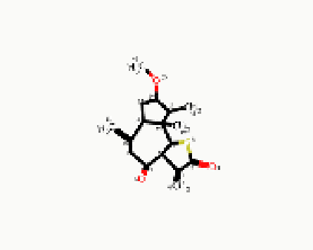 C=C1C(=O)SC2C1C(=O)CC(=C)C1CC(OC)C(C)C12C